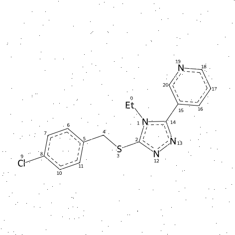 CCn1c(SCc2ccc(Cl)cc2)nnc1-c1cccnc1